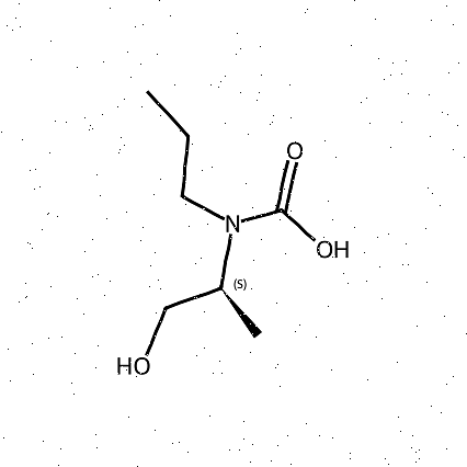 CCCN(C(=O)O)[C@@H](C)CO